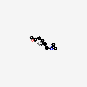 CC1(C)c2cc(-c3cccc(-c4ccc5oc6ccccc6c5c4)c3)ccc2-c2ccc(-c3cccc(-c4cnc5c6ccccc6c6ccccc6c5n4)c3)cc21